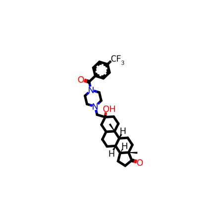 C[C@]12CCC(O)(CN3CCN(C(=O)c4ccc(C(F)(F)F)cc4)CC3)CC1CC[C@@H]1[C@H]2CC[C@]2(C)C(=O)CC[C@@H]12